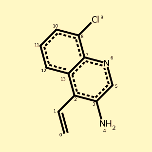 C=Cc1c(N)cnc2c(Cl)cccc12